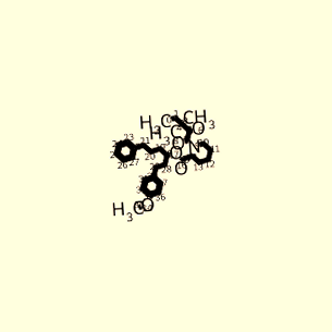 CCC(C)(C)C(=O)C(=O)N1CCCCC1C(=O)OC(CCCc1ccccc1)CCc1ccc(OC)cc1